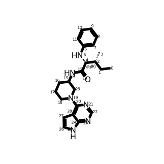 CC[C@@H](C)[C@@H](Nc1ccccc1)C(=O)NC1CCCN(c2ncnc3[nH]ccc23)C1